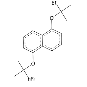 CCCC(C)(C)Oc1cccc2c(OC(C)(C)CC)cccc12